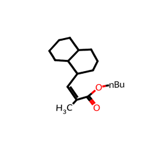 CCCCOC(=O)C(C)=CC1CCCC2CCCCC12